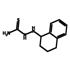 NC(=S)NNC1CCCc2ccccc21